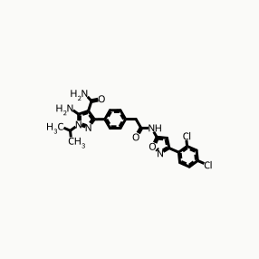 CC(C)n1nc(-c2ccc(CC(=O)Nc3cc(-c4ccc(Cl)cc4Cl)no3)cc2)c(C(N)=O)c1N